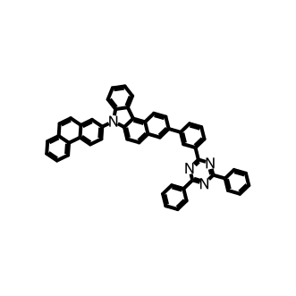 c1ccc(-c2nc(-c3ccccc3)nc(-c3cccc(-c4ccc5c(ccc6c5c5ccccc5n6-c5ccc6c(ccc7ccccc76)c5)c4)c3)n2)cc1